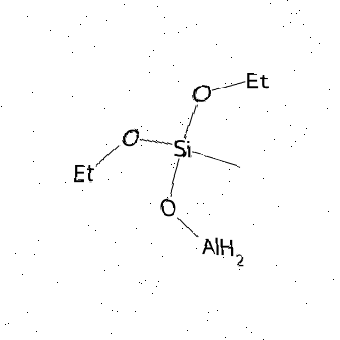 CCO[Si](C)([O][AlH2])OCC